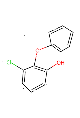 Oc1cccc(Cl)c1Oc1ccccc1